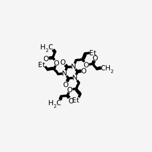 C=CC(=O)OC(=CCC)Cn1c(=O)n(CC(=CCC)OC(=O)C=C)c(=O)n(CC(=CCC)OC(=O)C=C)c1=O